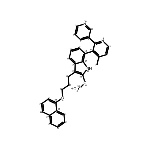 Cc1ccnc(-c2cccnc2)c1-c1cccc2c(CCCOc3cccc4ccccc34)c(OC(=O)O)[nH]c12